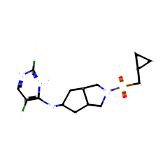 O=S(=O)(CC1CC1)N1CC2CC(Nc3nc(Cl)ncc3Cl)CC2C1